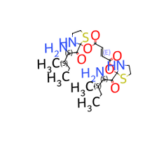 CC[C@H](C)[C@H](N)C(=O)C1(OC(=O)/C=C/C(=O)OC2(C(=O)[C@@H](N)[C@@H](C)CC)NCCS2)NCCS1